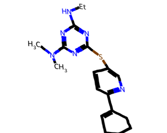 CCNc1nc(Sc2ccc(C3=CCCCC3)nc2)nc(N(C)C)n1